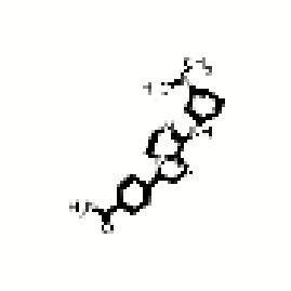 CN(C)c1cccc(NC2=NC=CN3C2=NCC3c2ccc(C(N)=O)cc2)c1